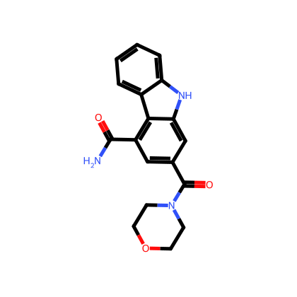 NC(=O)c1cc(C(=O)N2CCOCC2)cc2[nH]c3ccccc3c12